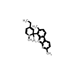 CCC1=CC(C)(c2c(C)ccc3c2oc2nc(C)ccc23)N(C)C=C1